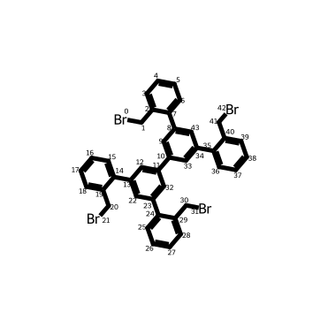 BrCc1ccccc1-c1cc(-c2cc(-c3ccccc3CBr)cc(-c3ccccc3CBr)c2)cc(-c2ccccc2CBr)c1